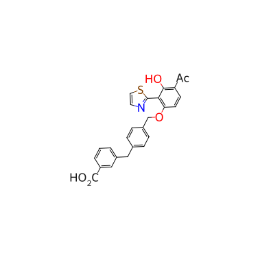 CC(=O)c1ccc(OCc2ccc(Cc3cccc(C(=O)O)c3)cc2)c(-c2nccs2)c1O